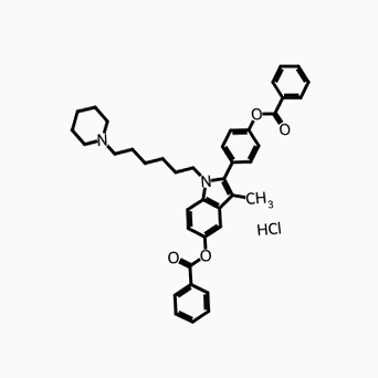 Cc1c(-c2ccc(OC(=O)c3ccccc3)cc2)n(CCCCCCN2CCCCC2)c2ccc(OC(=O)c3ccccc3)cc12.Cl